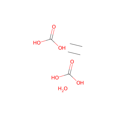 CC.CC.O.O=C(O)O.O=C(O)O